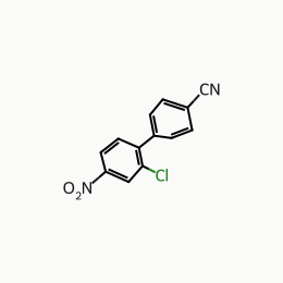 N#Cc1ccc(-c2ccc([N+](=O)[O-])cc2Cl)cc1